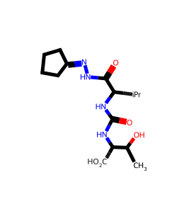 CC(C)C(NC(=O)NC(C(=O)O)C(C)O)C(=O)NN=C1CCCC1